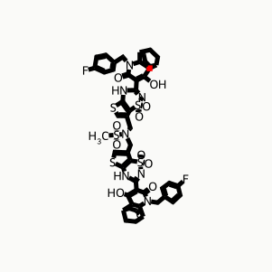 CS(=O)(=O)N(Cc1csc2c1S(=O)(=O)N=C(C1=C(O)C3C4CCCC(CC4)C3N(Cc3ccc(F)cc3)C1=O)N2)Cc1csc2c1S(=O)(=O)N=C(C1=C(O)C3C4CCCC(CC4)C3N(Cc3ccc(F)cc3)C1=O)N2